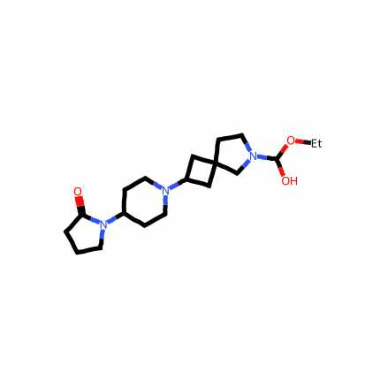 CCOC(O)N1CCC2(CC(N3CCC(N4CCCC4=O)CC3)C2)C1